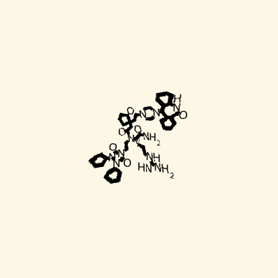 N=C(N)NCCC[C@@H](C(N)=O)N(CCn1c(=O)n(-c2ccccc2)n(-c2ccccc2)c1=O)C(=O)CC1(CC(=O)N2CCN([C@H]3c4ccccc4NC(=O)c4ccccc43)CC2)CCCC1